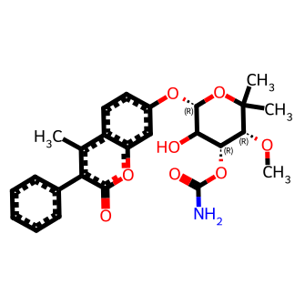 CO[C@@H]1[C@H](OC(N)=O)C(O)[C@H](Oc2ccc3c(C)c(-c4ccccc4)c(=O)oc3c2)OC1(C)C